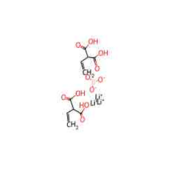 C=CC(C(=O)O)C(=O)O.C=CC(C(=O)O)C(=O)O.[Li+].[Li+].[Li+].[O-]B([O-])[O-]